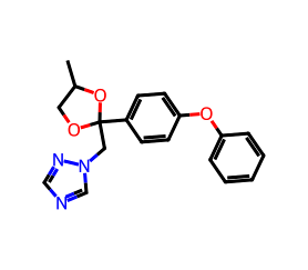 CC1COC(Cn2cncn2)(c2ccc(Oc3ccccc3)cc2)O1